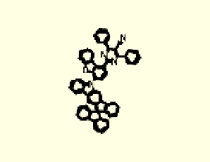 N#Cc1c(-c2ccccc2)nc(-c2ccc(-n3c4ccccc4c4cc5c(cc43)-c3ccccc3C53c4ccccc4-c4ccccc43)c3oc4ccccc4c23)nc1-c1ccccc1